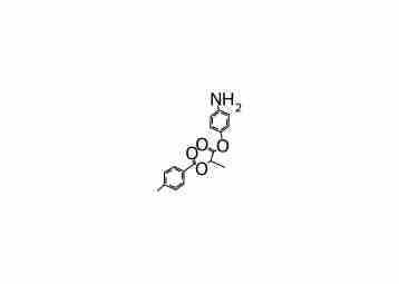 Cc1ccc(C(=O)OC(C)C(=O)Oc2ccc(N)cc2)cc1